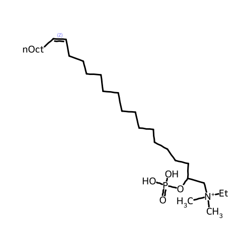 CCCCCCCC/C=C\CCCCCCCCCCCCCCC(C[N+](C)(C)CC)OP(=O)(O)O